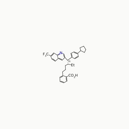 CCC(CCCc1ccccc1C(=O)O)[C@@H](c1ccc(C2CCCC2)cc1)c1cnc2cc(C(F)(F)F)ccc2c1